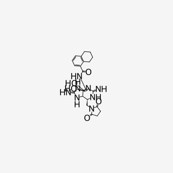 N=C1NC2[C@H](CN3C(=O)CCC3=O)NC(=N)N3CC(NC(=O)c4cccc5c4CCCC5)C(O)(O)C23N1